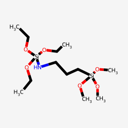 CCO[Si](NCCC[Si](OC)(OC)OC)(OCC)OCC